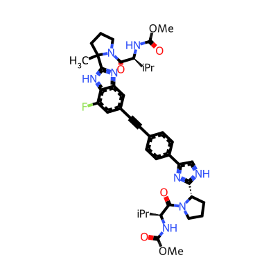 COC(=O)N[C@H](C(=O)N1CCC[C@H]1c1nc(-c2ccc(C#Cc3cc(F)c4[nH]c(C5(C)CCCN5C(=O)[C@@H](NC(=O)OC)C(C)C)nc4c3)cc2)c[nH]1)C(C)C